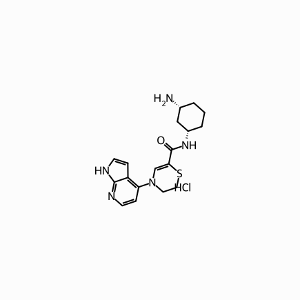 Cl.N[C@@H]1CCC[C@H](NC(=O)C2=CN(c3ccnc4[nH]ccc34)CCS2)C1